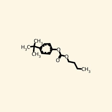 CCCCOC(=O)Oc1ccc(C(C)(C)C)cc1